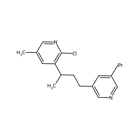 Cc1cnc(Cl)c(C(C)CCc2cncc(C(C)C)c2)c1